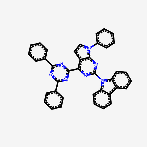 c1ccc(-c2nc(-c3ccccc3)nc(-c3nc(-n4c5ccccc5c5ccccc54)nc4c3ccn4-c3ccccc3)n2)cc1